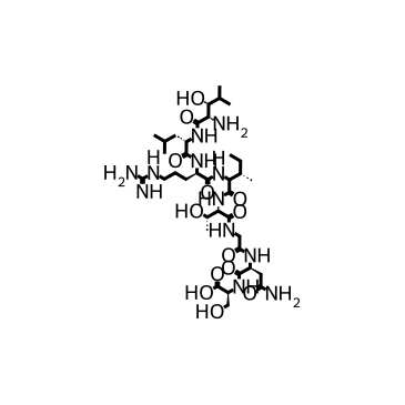 CC[C@H](C)C(NC(=O)[C@@H](CCCNC(=N)N)NC(=O)[C@H](CC(C)C)NC(=O)[C@@H](N)[C@H](O)C(C)C)C(=O)N[C@H](C(=O)NCC(=O)N[C@@H](CC(N)=O)C(=O)N[C@@H](CO)C(=O)O)[C@H](C)O